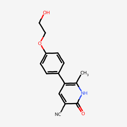 Cc1[nH]c(=O)c(C#N)cc1-c1ccc(OCCO)cc1